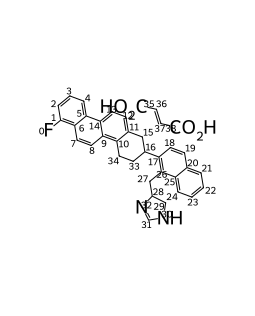 Fc1cccc2c1ccc1c3c(ccc12)CC(c1ccc2ccccc2c1CC1CNC=N1)CC3.O=C(O)/C=C/C(=O)O